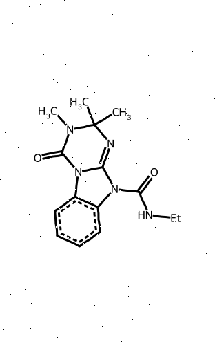 CCNC(=O)N1C2=NC(C)(C)N(C)C(=O)N2c2ccccc21